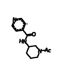 CC(=O)N1CCCC(NC(=O)c2[c]cncc2)C1